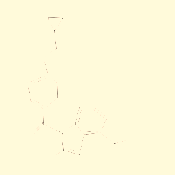 Cc1cc2c(CC(=O)O)cccc2n1C(=O)c1ccc(OCC2CC2)cc1